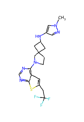 Cn1cc(NC2CC3(CCN(c4ncnc5sc(CC(F)(F)F)cc45)C3)C2)cn1